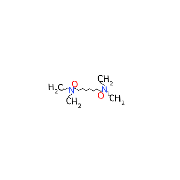 C=CCN(CC=C)C(=O)CCCCCCC(=O)N(CC=C)CC=C